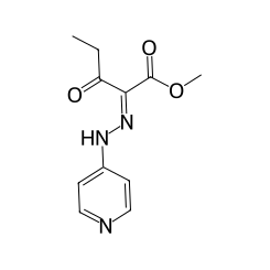 CCC(=O)/C(=N\Nc1ccncc1)C(=O)OC